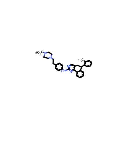 O=C(O)N1CCN(CCc2ccc(Nc3ncc4c(n3)-c3ccccc3C(c3ccccc3C(F)(F)F)C4)cc2)CC1